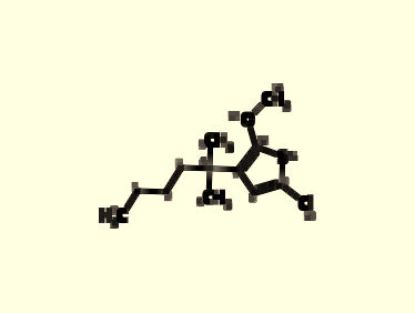 CCCCC(C)(C)c1cc(Cl)sc1OC